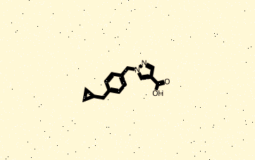 O=C(O)c1cnn(Cc2ccc(CC3CC3)cc2)c1